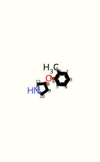 Cc1ccccc1OC1CCNC1